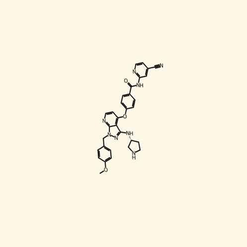 COc1ccc(Cn2nc(N[C@@H]3CCNC3)c3c(Oc4ccc(C(=O)Nc5cc(C#N)ccn5)cc4)ccnc32)cc1